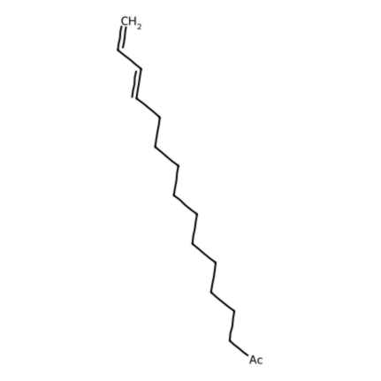 C=CC=CCCCCCCCCCCC(C)=O